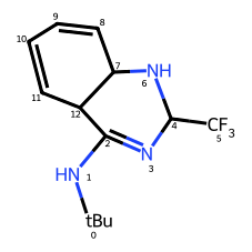 CC(C)(C)NC1=NC(C(F)(F)F)NC2C=CC=CC12